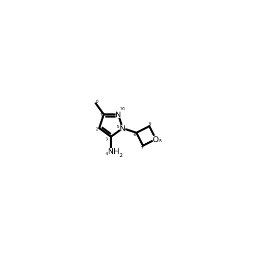 Cc1cc(N)n(C2COC2)n1